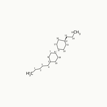 CCCCCC1CCC([C@H]2CC[C@H](CCC)CC2)CC1